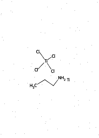 CCCN.[Cl][Ti]([Cl])([Cl])[Cl].[Ti]